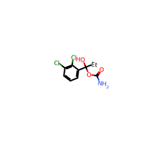 CCC(O)(OC(N)=O)c1cccc(Cl)c1Cl